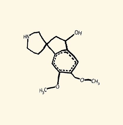 COc1cc2c(cc1OC)C1(CCNC1)CC2O